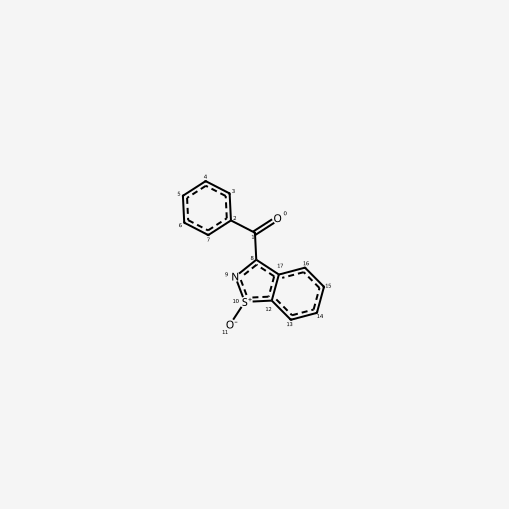 O=C(c1ccccc1)c1n[s+]([O-])c2ccccc12